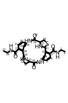 CCNC(=O)c1ccc2cc1C1NC(CS1)C(=O)Nc1ccc(C(=O)NCC)c(c1)C1NC(CS1)C(=O)N2